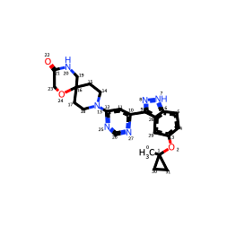 CC1(Oc2ccc3[nH]nc(-c4cc(N5CCC6(CC5)CNC(=O)CO6)ncn4)c3c2)CC1